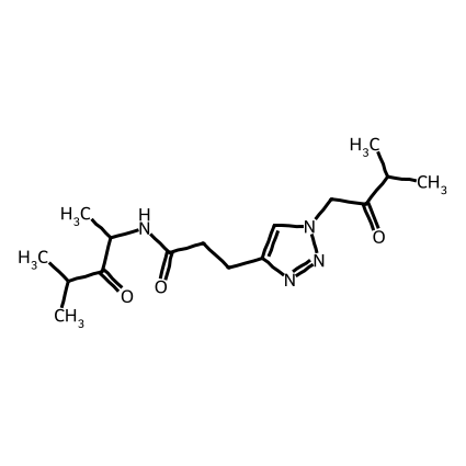 CC(C)C(=O)Cn1cc(CCC(=O)NC(C)C(=O)C(C)C)nn1